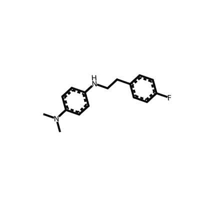 CN(C)c1ccc(NCCc2ccc(F)cc2)cc1